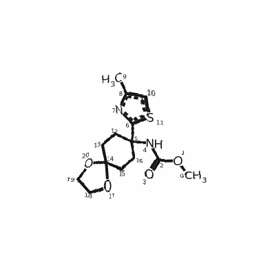 COC(=O)NC1(c2nc(C)cs2)CCC2(CC1)OCCO2